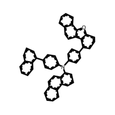 c1ccc2c(-c3ccc(N(c4ccc(-c5cccc6oc7c8ccccc8ccc7c56)cc4)c4cccc5c4ccc4ccccc45)cc3)cccc2c1